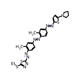 CCSc1nnc(/N=N/c2ccc(/N=N/c3ccc(/N=N/c4ccc(N5CCCC5)s4)cc3C)cc2C)s1